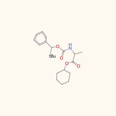 CC(NC(=O)OC(c1ccccc1)C(C)(C)C)C(=O)OC1CCCCC1